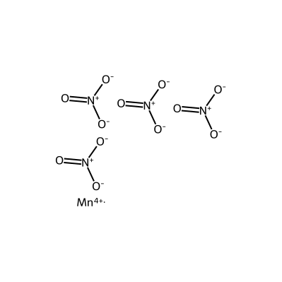 O=[N+]([O-])[O-].O=[N+]([O-])[O-].O=[N+]([O-])[O-].O=[N+]([O-])[O-].[Mn+4]